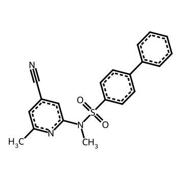 Cc1cc(C#N)cc(N(C)S(=O)(=O)c2ccc(-c3ccccc3)cc2)n1